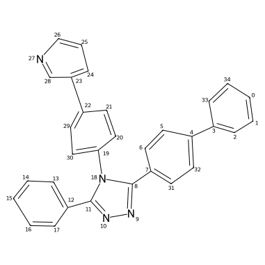 c1ccc(-c2ccc(-c3nnc(-c4ccccc4)n3-c3ccc(-c4cccnc4)cc3)cc2)cc1